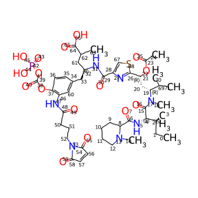 CC[C@H](C)[C@H](NC(=O)C1CCCCN1C)C(=O)N(C)[C@H](C[C@@H](OC(C)=O)c1nc(C(=O)N[C@@H](Cc2ccc(OC(=O)OP(=O)(O)O)c(NC(=O)CCCN3C(=O)C=CC3=O)c2)CC(C)C(=O)O)cs1)C(C)C